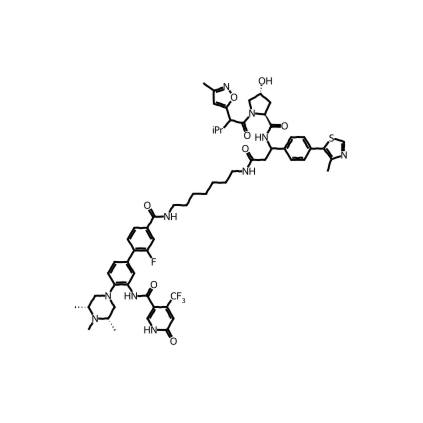 Cc1cc(C(C(=O)N2C[C@H](O)C[C@H]2C(=O)NC(CC(=O)NCCCCCCCNC(=O)c2ccc(-c3ccc(N4C[C@@H](C)N(C)[C@@H](C)C4)c(NC(=O)c4c[nH]c(=O)cc4C(F)(F)F)c3)c(F)c2)c2ccc(-c3scnc3C)cc2)C(C)C)on1